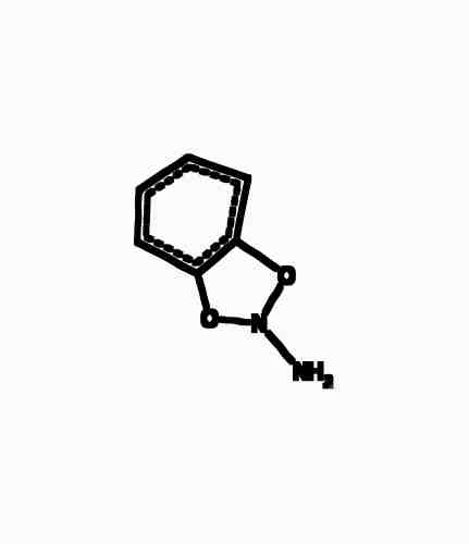 NN1Oc2ccccc2O1